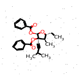 CC[C@H]1O[C@H](OC(=O)c2ccccc2)[C@](C#CC(C)C)(OC(=O)c2ccccc2)[C@@H]1C